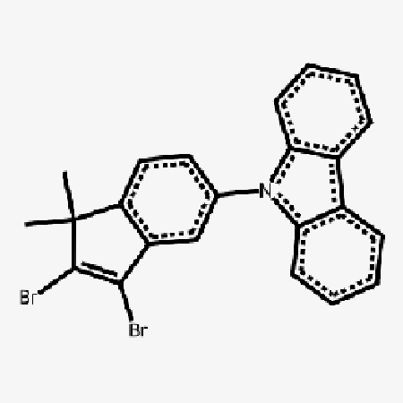 CC1(C)C(Br)=C(Br)c2cc(-n3c4ccccc4c4ccccc43)ccc21